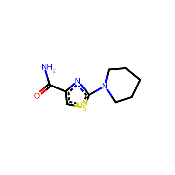 NC(=O)c1csc(N2CCCCC2)n1